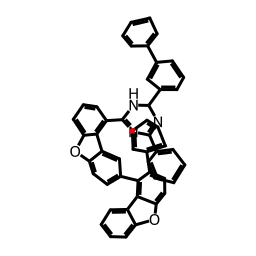 c1ccc(C2=NC(c3cccc(-c4ccccc4)c3)NC(c3cccc4oc5ccc(-c6c(-c7ccccc7)ccc7oc8ccccc8c67)cc5c34)=N2)cc1